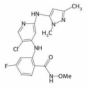 CONC(=O)c1ccc(F)cc1Nc1cc(Nc2cc(C)nn2C)ncc1Cl